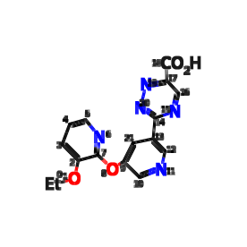 CCOc1cccnc1Oc1cncc(-c2ncc(C(=O)O)nn2)c1